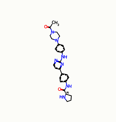 CC(=O)N1CCN(c2ccc(Nc3nccc(-c4ccc(NC(=O)[C@H]5CCCN5)cc4)n3)cc2)CC1